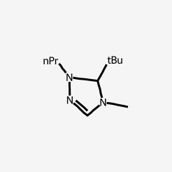 CCCN1N=CN(C)C1C(C)(C)C